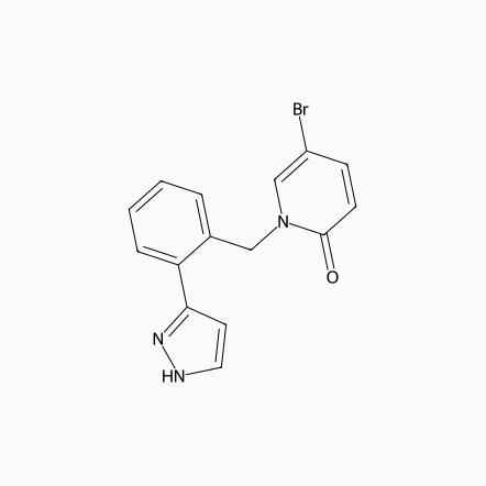 O=c1ccc(Br)cn1Cc1ccccc1-c1cc[nH]n1